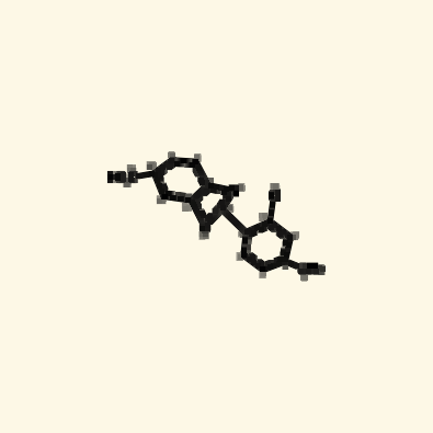 COc1ccc(-c2nc3ccc(C(=O)O)cc3o2)c(Cl)c1